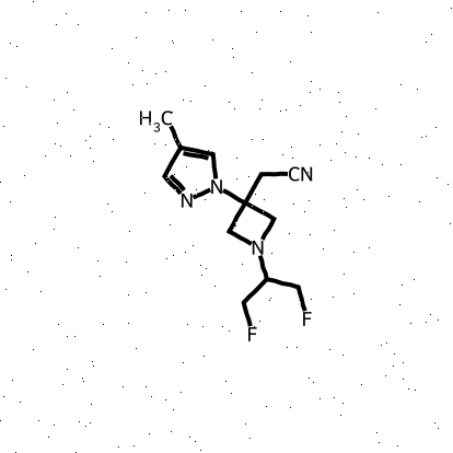 Cc1cnn(C2(CC#N)CN(C(CF)CF)C2)c1